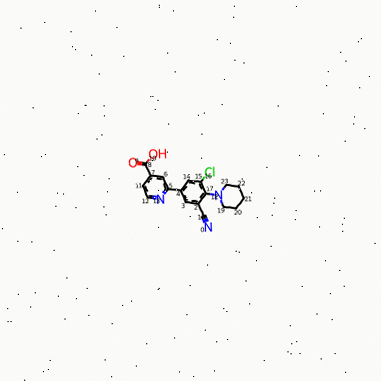 N#Cc1cc(-c2cc(C(=O)O)ccn2)cc(Cl)c1N1CCCCC1